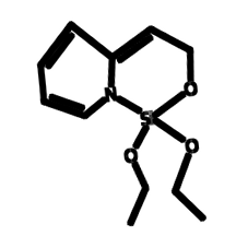 CCO[Si]1(OCC)OCC=C2C=CC=CN21